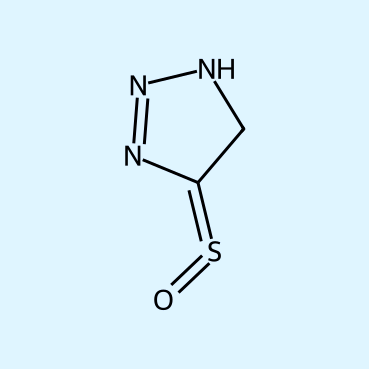 O=S=C1CNN=N1